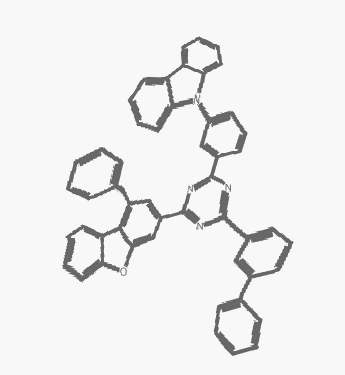 c1ccc(-c2cccc(-c3nc(-c4cccc(-n5c6ccccc6c6ccccc65)c4)nc(-c4cc(-c5ccccc5)c5c(c4)oc4ccccc45)n3)c2)cc1